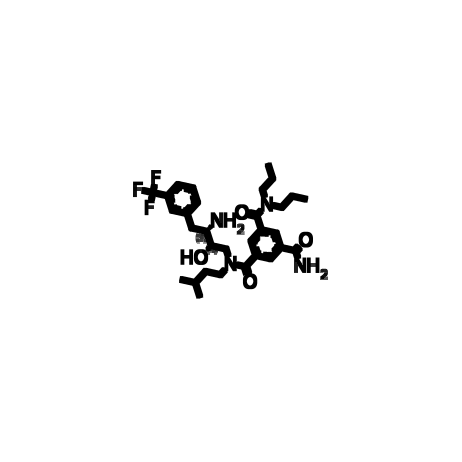 CCCN(CCC)C(=O)c1cc(C(N)=O)cc(C(=O)N(CCC(C)C)C[C@@H](O)[C@@H](N)Cc2cccc(C(F)(F)F)c2)c1